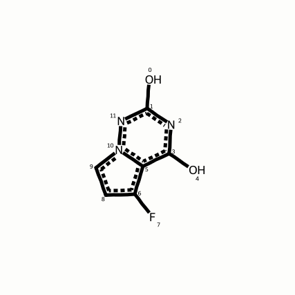 Oc1nc(O)c2c(F)ccn2n1